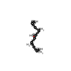 Cc1ccc2nc(-c3ccc(N=Nc4cc(N=Nc5ccc(-c6ccc(N=Nc7ccc(N)c(N=Nc8ccc(-c9nc%10ccc(C)c(S(=O)(=O)O)c%10s9)cc8)c7)cc6S(=O)(=O)O)cc5)ccc4N)cc3)sc2c1S(=O)(=O)O